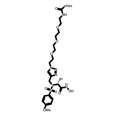 CCCCCCC(=O)NCCOCCOCCOCCn1cc(CN([C@@H](C(=O)NO)C(C)C)S(=O)(=O)c2ccc(OC)cc2)nn1